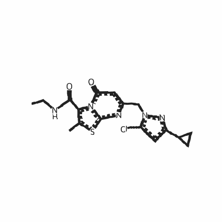 CCNC(=O)c1c(C)sc2nc(Cn3nc(C4CC4)cc3Cl)cc(=O)n12